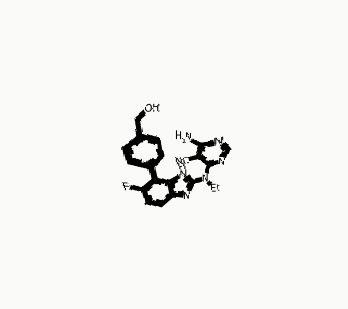 CCN(c1nc2ccc(F)c(-c3ccc(CO)cc3)c2[nH]1)c1ncnc(N)c1C#N